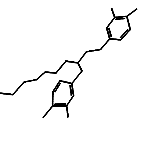 CCCCCCCCC([CH]Cc1ccc(C)c(C)c1)Cc1ccc(C)c(C)c1